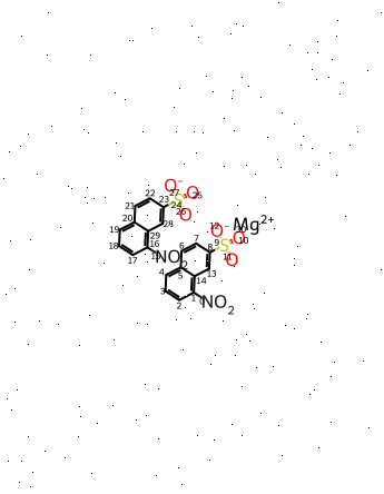 O=[N+]([O-])c1cccc2ccc(S(=O)(=O)[O-])cc12.O=[N+]([O-])c1cccc2ccc(S(=O)(=O)[O-])cc12.[Mg+2]